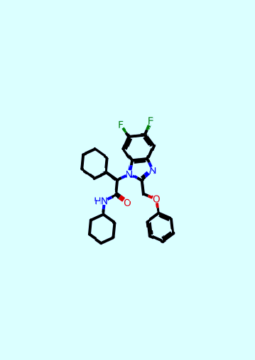 O=C(NC1CCCCC1)C(C1CCCCC1)n1c(COc2ccccc2)nc2cc(F)c(F)cc21